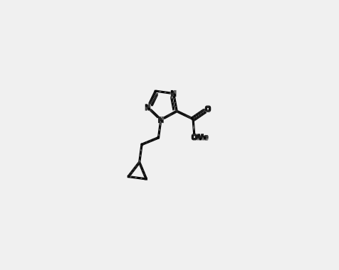 COC(=O)c1ncnn1CCC1CC1